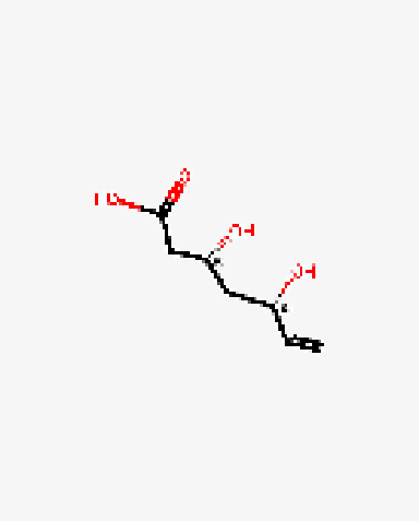 C=C[C@@H](O)C[C@@H](O)CC(=O)O